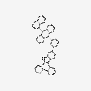 c1cc(-c2ccc3c(c2)oc2c4ccccc4c4ccccc4c32)cc(-c2c3ccccc3c(-c3cccc4ccccc34)c3ccccc23)c1